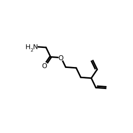 C=CC(C=C)CCCOC(=O)CN